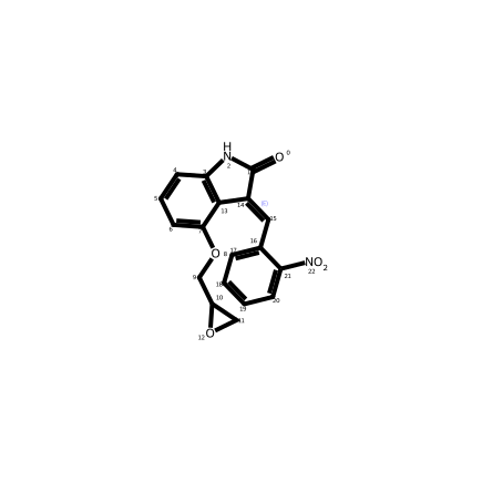 O=C1Nc2cccc(OCC3CO3)c2/C1=C\c1ccccc1[N+](=O)[O-]